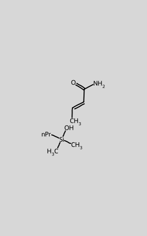 CC=CC(N)=O.CCC[Si](C)(C)O